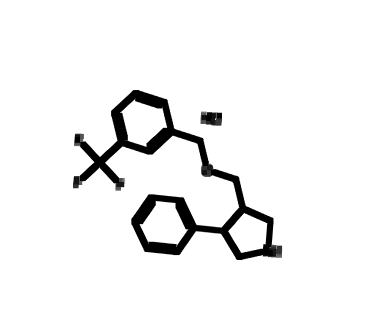 Cl.FC(F)(F)c1cccc(COCC2CNCC2c2ccccc2)c1